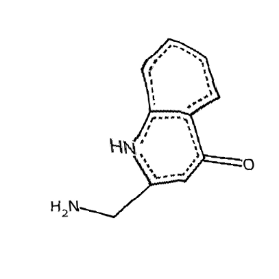 NCc1cc(=O)c2ccccc2[nH]1